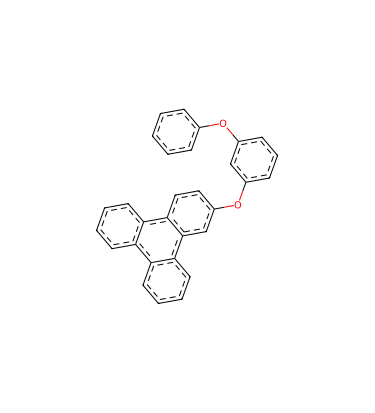 c1ccc(Oc2cccc(Oc3ccc4c5ccccc5c5ccccc5c4c3)c2)cc1